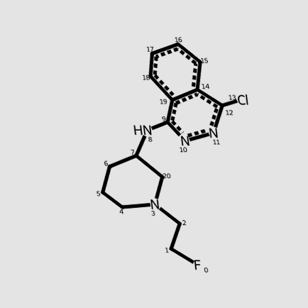 FCCN1CCCC(Nc2nnc(Cl)c3ccccc23)C1